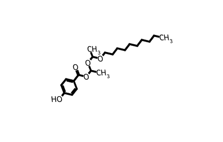 CCCCCCCCCCOC(C)OC(C)OC(=O)c1ccc(O)cc1